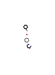 O=C(N[C@H]1CC[C@H](c2ccc(O)cn2)CC1)OCc1ccccc1